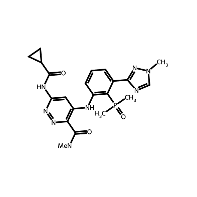 CNC(=O)c1nnc(NC(=O)C2CC2)cc1Nc1cccc(-c2ncn(C)n2)c1P(C)(C)=O